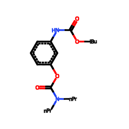 CCCN(CCC)C(=O)Oc1cccc(NC(=O)OC(C)CC)c1